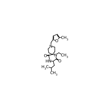 CCN1C(=O)C(CC(C)C)NC(=O)C12CCN(Cc1ccc(C)o1)CC2